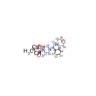 CC(C)(C)C(O)C(=O)N1CCN(C(CN2CCOCC2)c2ccccc2)CC1